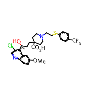 COc1ccc2ncc(Cl)c([C@@H](O)CCC3(C(=O)O)CCN(CCSc4ccc(C(F)(F)F)cc4)CC3)c2c1